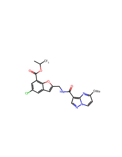 COc1ccn2ncc(C(=O)NCc3cc4cc(Cl)cc(C(=O)OC(C)C(F)(F)F)c4o3)c2n1